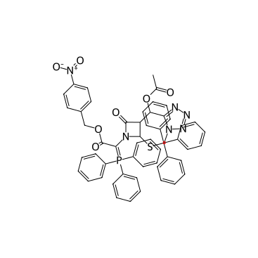 CC(=O)OC(c1nnnn1C)C1C(=O)N(C(C(=O)OCc2ccc([N+](=O)[O-])cc2)=P(c2ccccc2)(c2ccccc2)c2ccccc2)C1SC(c1ccccc1)(c1ccccc1)c1ccccc1